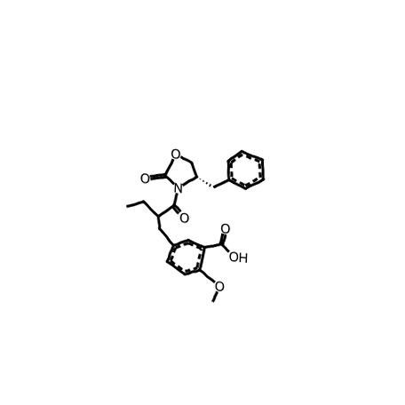 CCC(Cc1ccc(OC)c(C(=O)O)c1)C(=O)N1C(=O)OC[C@@H]1Cc1ccccc1